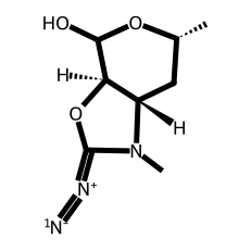 C[C@@H]1C[C@H]2[C@@H](OC(=[N+]=[1N-])N2C)C(O)O1